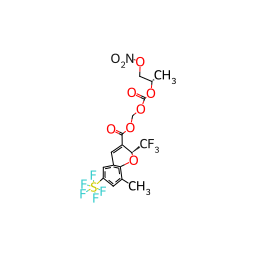 Cc1cc(S(F)(F)(F)(F)F)cc2c1O[C@H](C(F)(F)F)C(C(=O)OCOC(=O)O[C@@H](C)CO[N+](=O)[O-])=C2